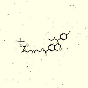 CCSC(c1ccc(F)cc1)N(C=O)c1ccc(C(=O)OCCOCCN(C)C(=O)OC(C)(C)C)cc1C